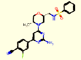 C[C@@H]1CO[C@H](CNS(=O)(=O)c2ccccc2)CN1c1cc(-c2ccc(C#N)c(F)c2)nc(N)n1